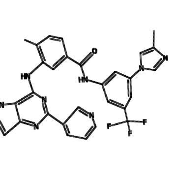 Cc1cn(-c2cc(NC(=O)c3ccc(C)c(Nc4nc(-c5cccnc5)nc5cc[nH]c45)c3)cc(C(F)(F)F)c2)cn1